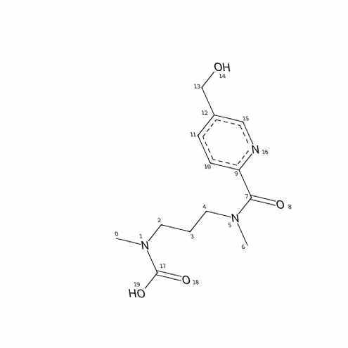 CN(CCCN(C)C(=O)c1ccc(CO)cn1)C(=O)O